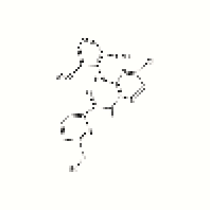 CCOc1cccc(C(=O)Nc2ncc(Cl)nc2Nc2c(OC)cccc2OC)n1